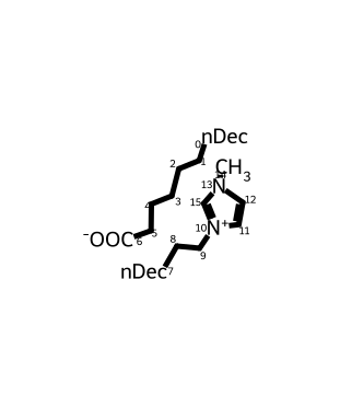 CCCCCCCCCCCCCCCC(=O)[O-].CCCCCCCCCCCC[n+]1ccn(C)c1